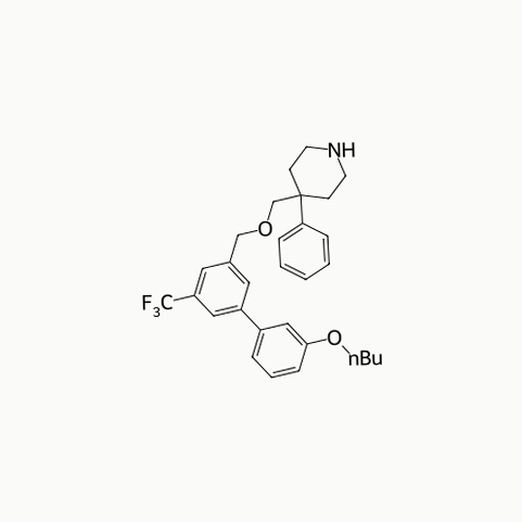 CCCCOc1cccc(-c2cc(COCC3(c4ccccc4)CCNCC3)cc(C(F)(F)F)c2)c1